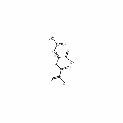 C=C(C)C(=O)C/C(=C/C(=O)O)C(=O)O